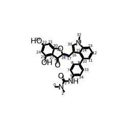 CN(C)C(=O)Nc1ccc(-c2cccc3c2c(/C=C2\Oc4cc(O)cc(O)c4C2=O)cn3C)cc1